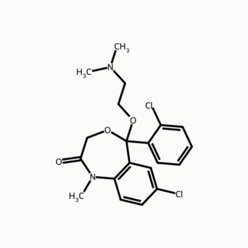 CN(C)CCOC1(c2ccccc2Cl)OCC(=O)N(C)c2ccc(Cl)cc21